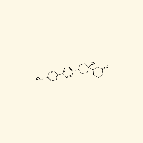 CCCCCCCCc1ccc(-c2ccc([C@H]3CC[C@@](C#N)([C@@H]4CCCC(=O)C4)CC3)cc2)cc1